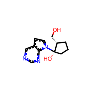 OC[C@@H]1CCC[C@@]1(O)n1ccc2cncnc21